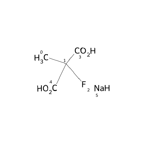 CC(F)(C(=O)O)C(=O)O.[NaH]